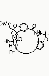 CC[C@]12CCCCc3ccc4c(c3)[C@H](CC(C)(C)O4)NC(=O)c3ccc4c(c3)[C@H](N(C(=N)N1)C(=O)C2)[C@](C)(COC)O4